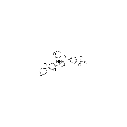 O=S(=O)(c1ccc(C(CC2CCOCC2)c2ccc(-c3ccc(C4(O)CCOCC4)cn3)[nH]2)cc1)C1CC1